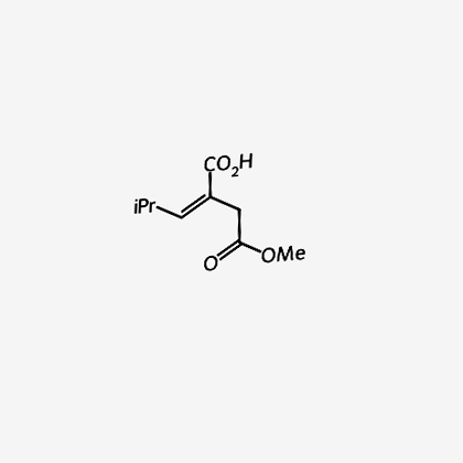 COC(=O)CC(=CC(C)C)C(=O)O